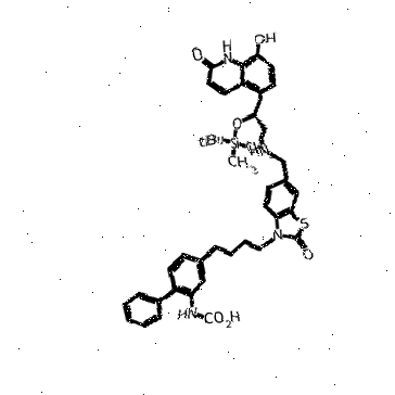 CC(C)(C)[Si](C)(C)O[C@H](CNCc1ccc2c(c1)sc(=O)n2CCCCc1ccc(-c2ccccc2)c(NC(=O)O)c1)c1ccc(O)c2[nH]c(=O)ccc12